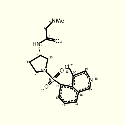 CNCC(=O)N[C@H]1CCN(S(=O)(=O)c2cccc3cncc(Cl)c23)C1